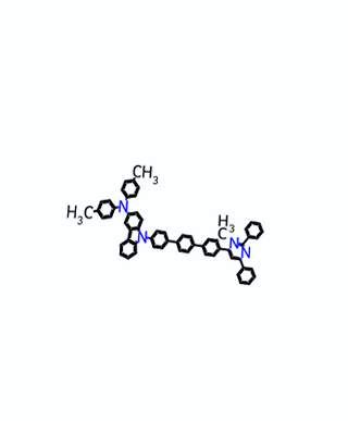 Cc1ccc(N(c2ccc(C)cc2)c2ccc3c(c2)c2ccccc2n3-c2ccc(-c3ccc(-c4ccc(-c5cc(-c6ccccc6)nc(-c6ccccc6)n5)c(C)c4)cc3)cc2)cc1